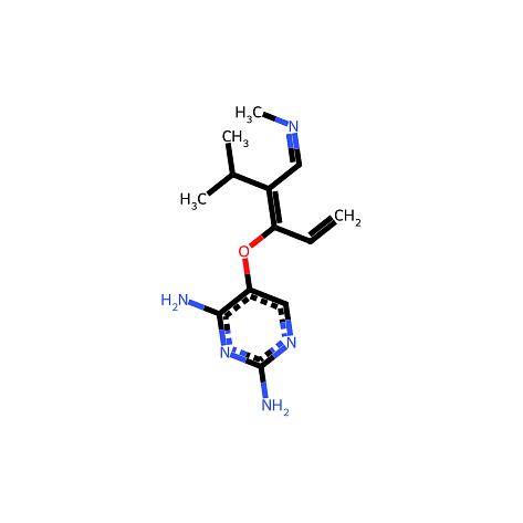 C=C/C(Oc1cnc(N)nc1N)=C(\C=N/C)C(C)C